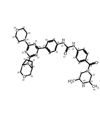 CC1CN(C(=O)c2ccc(NC(=O)Nc3ccc(-c4nc(N5CCOCC5)nc(N5C6CCC5COC6)n4)cc3)cc2)CC(C)N1